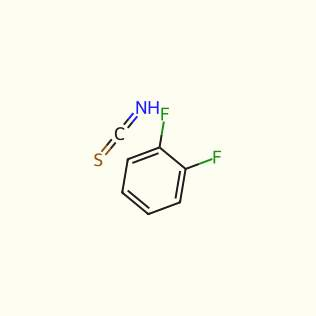 Fc1ccccc1F.N=C=S